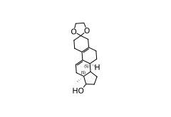 C[C@]12CC=C3C4=C(CC[C@H]3C1CCC2O)CC1(CC4)OCCO1